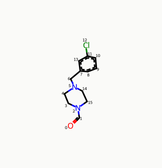 O=CN1CCN(Cc2cccc(Cl)c2)CC1